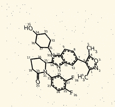 Cc1noc(C)c1-c1ccc2c(c1)nc([C@@H]1CCCC(=O)N1c1ccc(F)c(F)c1)n2C1CCC(O)CC1